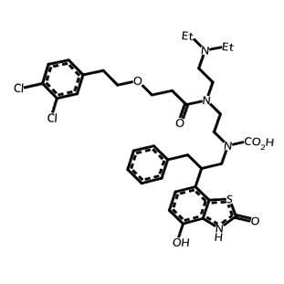 CCN(CC)CCN(CCN(CC(Cc1ccccc1)c1ccc(O)c2[nH]c(=O)sc12)C(=O)O)C(=O)CCOCCc1ccc(Cl)c(Cl)c1